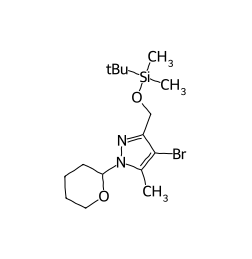 Cc1c(Br)c(CO[Si](C)(C)C(C)(C)C)nn1C1CCCCO1